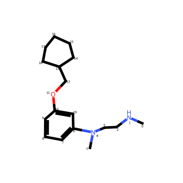 CNCCN(C)c1cccc(OCC2CCCCC2)c1